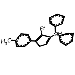 CCC1=C(c2ccc(C)cc2)CC=C1[SiH](c1ccccc1)c1ccccc1